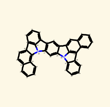 c1ccc2c(c1)cc1c3cc4c5cccc6c7ccc8ccccc8c7n(c4cc3n3c4ccccc4c2c13)c56